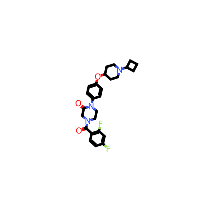 O=C(c1ccc(F)cc1F)N1CCN(c2ccc(OC3CCN(C4CCC4)CC3)cc2)C(=O)C1